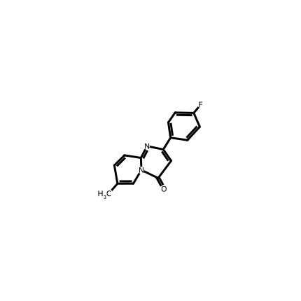 Cc1ccc2nc(-c3ccc(F)cc3)cc(=O)n2c1